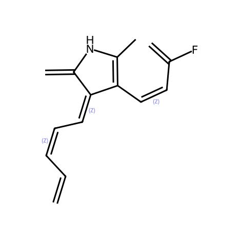 C=C/C=C\C=c1\c(/C=C\C(=C)F)c(C)[nH]c1=C